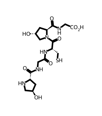 O=C(O)CNC(=O)[C@@H]1C[C@@H](O)CN1C(=O)[C@H](CS)NC(=O)CNC(=O)[C@@H]1C[C@@H](O)CN1